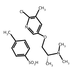 Cc1cc(OC[C@@H](C)N(C)C)cnc1Cl.Cc1ccc(S(=O)(=O)O)cc1